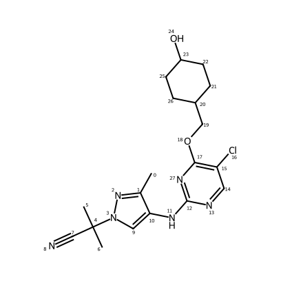 Cc1nn(C(C)(C)C#N)cc1Nc1ncc(Cl)c(OCC2CCC(O)CC2)n1